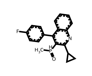 C[PH](=O)c1c(C2CC2)nc2ccccc2c1-c1ccc(F)cc1